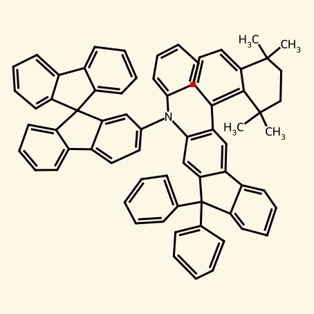 CC1(C)CCC(C)(C)c2c(-c3cc4c(cc3N(c3ccccc3)c3ccc5c(c3)C3(c6ccccc6-c6ccccc63)c3ccccc3-5)C(c3ccccc3)(c3ccccc3)c3ccccc3-4)cccc21